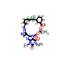 CCCn1c(=O)c2c(nc3n2C(=O)OC(C)OC(=O)C2CCCC(C2)C(F)(F)c2cccc(c2)Cn2cc-3cn2)n(CC)c1=O